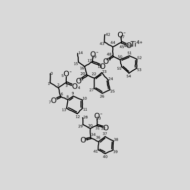 CCC(C(=O)[O-])C(=O)c1ccccc1.CCC(C(=O)[O-])C(=O)c1ccccc1.CCC(C(=O)[O-])C(=O)c1ccccc1.CCC(C(=O)[O-])C(=O)c1ccccc1.[Ti+4]